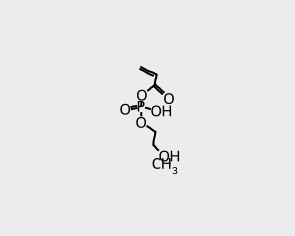 C=CC(=O)OP(=O)(O)OCCO.[CH3]